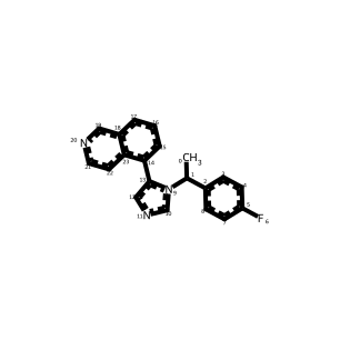 CC(c1ccc(F)cc1)n1cncc1-c1cccc2cnccc12